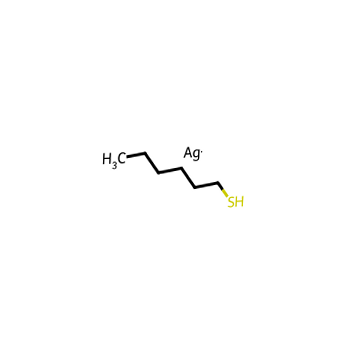 CCCCCCS.[Ag]